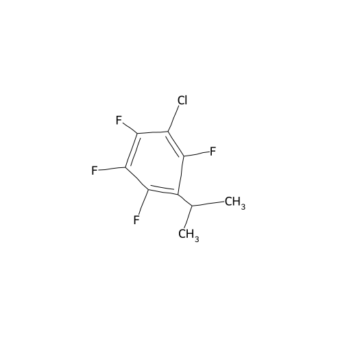 CC(C)c1c(F)c(F)c(F)c(Cl)c1F